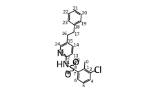 Cc1c(Cl)cccc1S(=O)(=O)Nc1ccc(CCc2ccccc2)cn1